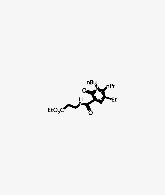 CCCCn1c(CCC)c(CC)cc(C(=O)NCCC(=O)OCC)c1=O